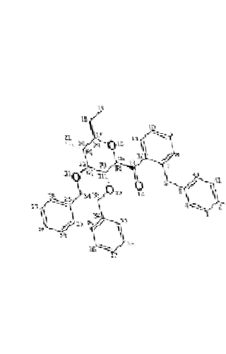 CCc1ccc(Cc2ccccc2C(=O)[C@@H]2O[C@H](CC)[C@@H](C)[C@H](OCc3ccccc3)[C@H]2OCc2ccccc2)cc1